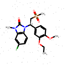 CCOc1cc([C@H](CS(C)(=O)=O)n2c(=O)n(C)c3cc(F)ccc32)ccc1OC